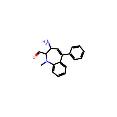 CN1c2ccccc2C(c2ccccc2)=CC(N)C1C=O